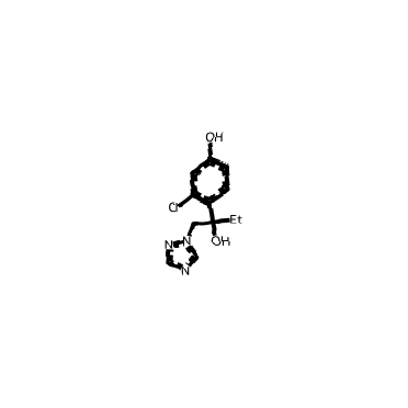 CCC(O)(Cn1cncn1)c1ccc(O)cc1Cl